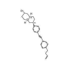 C=CCCc1ccc(C#Cc2ccc([C@@H]3CC[C@@H]4CC(CC)CC[C@@H]4C3)cc2)cc1